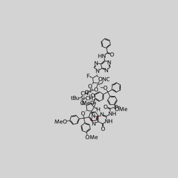 [C-]#[N+]CCOP(=O)(OC[C@]12C[C@@H]1[C@@H](n1cnc3c(=O)[nH]c(NC(=O)C(C)C)nc31)[C@H](OC(c1ccccc1)(c1ccc(OC)cc1)c1ccc(OC)cc1)[C@@H]2O[Si](C)(C)C(C)(C)C)O[C@H]1[C@@H](F)[C@H](n2cnc3c(NC(=O)c4ccccc4)ncnc32)O[C@@H]1COC(c1ccccc1)(c1ccc(OC)cc1)c1ccc(OC)cc1